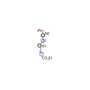 [C-]#[N+]c1cc(-c2ncc(-c3cccc(CCN4CCC(C(=O)OCC)CC4)c3CC)s2)ccc1OC(C)C